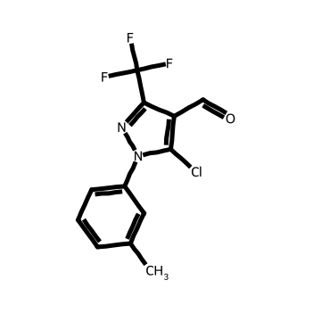 Cc1cccc(-n2nc(C(F)(F)F)c(C=O)c2Cl)c1